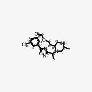 CC1CN(C(C)c2noc(-c3cccc(Cl)c3)n2)C(CCOC=O)CN1